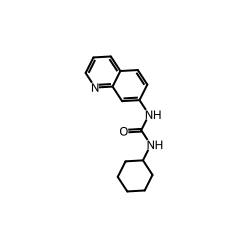 O=C(Nc1ccc2cccnc2c1)NC1CCCCC1